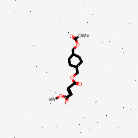 CCCOC(=O)C=CC(=O)OCC1CCC(COC(=O)OC)CC1